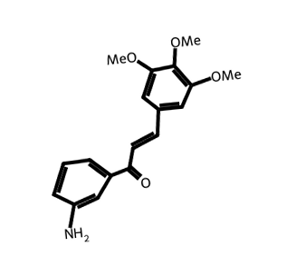 COc1cc(C=CC(=O)c2cccc(N)c2)cc(OC)c1OC